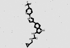 O=C(NCC1CC1)Nc1c[nH]c2ccc(-c3cnn(-c4ccc(C(F)(F)F)cn4)c3)cc12